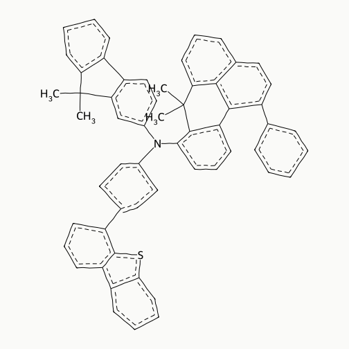 CC1(C)c2ccccc2-c2ccc(N(c3ccc(-c4cccc5c4sc4ccccc45)cc3)c3cccc4c3C(C)(C)c3cccc5ccc(-c6ccccc6)c-4c35)cc21